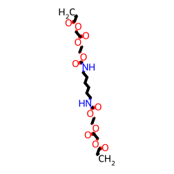 C=CC(=O)OCC(=O)OCCOC(=O)NCCCCCCNC(=O)OCCOC(=O)COC(=O)C=C